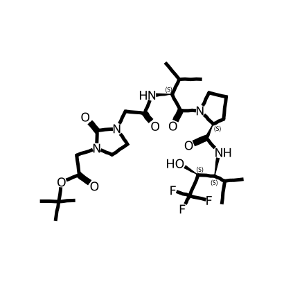 CC(C)[C@H](NC(=O)CN1CCN(CC(=O)OC(C)(C)C)C1=O)C(=O)N1CCC[C@H]1C(=O)N[C@@H](C(C)C)[C@H](O)C(F)(F)F